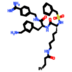 CC(C)CCC(=O)NCCCCC[C@@H](NS(=O)(=O)Cc1ccccc1)C(=O)N[C@@H](Cc1cccc(CN)c1)C(=O)NCc1ccc(C(=N)N)cc1